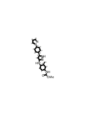 COC(=O)Nc1ccc(Nc2cc(-c3ccc(-n4cccn4)cc3)[nH]n2)c(C)c1